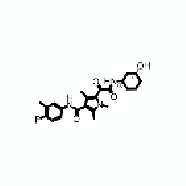 Cc1cc(NC(=O)c2c(C)c(C(=O)C(=O)N[C@@H]3CCC[C@@H](O)C3)n(C)c2C)ccc1F